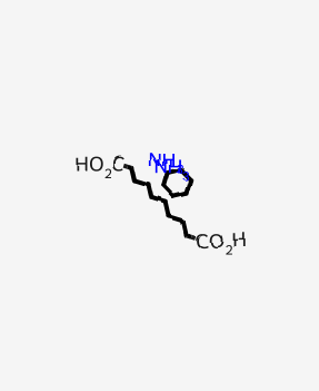 C1CCCCC1.N.N.O=C(O)CCCCCCCCC(=O)O